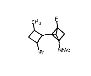 CNC12CC(F)(C1)C2C1C(C)CC1C(C)C